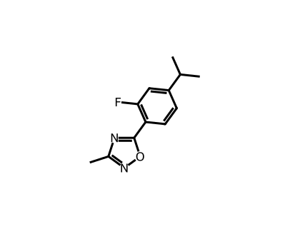 Cc1noc(-c2ccc(C(C)C)cc2F)n1